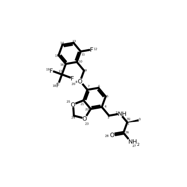 C[C@H](NCc1ccc(OCc2c(F)cccc2C(F)(F)F)c2c1OCO2)C(N)=O